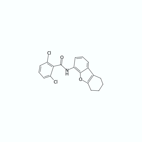 O=C(Nc1cccc2c3c(oc12)CCCC3)c1c(Cl)cccc1Cl